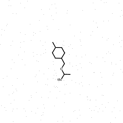 CC1CCC(COC(C)C(C)(C)C)CC1